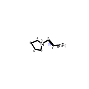 CCC/C=C/N1CCCC1